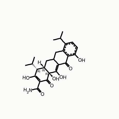 CC(C)c1ccc(O)c2c1CC1C[C@H]3[C@@H](C(C)C)C(O)=C(C(N)=O)C(=O)[C@@]3(O)C(O)=C1C2=O